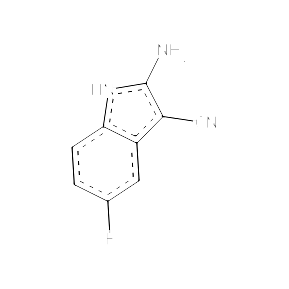 N#Cc1c(N)[nH]c2ccc(F)cc12